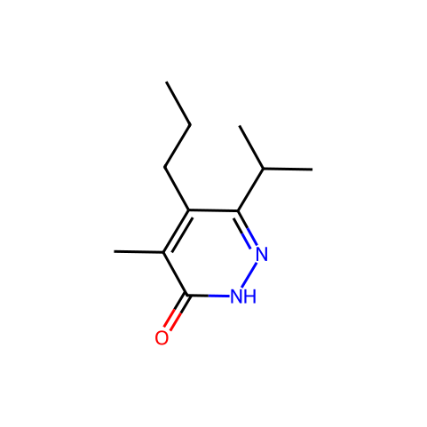 CCCc1c(C(C)C)n[nH]c(=O)c1C